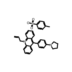 C=CC[n+]1c2ccccc2c(-c2ccc(N3CCCC3)cc2)c2ccccc21.Cc1ccc(S(=O)(=O)[O-])cc1